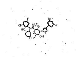 CO[C@@H]1[C@@H](n2cc(-c3cc(F)cc(Br)c3)nn2)[C@@H](O)[C@@H](CO)O[C@H]1C(=O)N(c1cc(F)cc(Cl)c1)[C@H]1CCCC[C@@H]1O